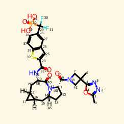 Cc1nnc(C2(C)CN(C(=O)[C@@H]3CC[C@@H]4C[C@@H]5C[C@@H]5C[C@H](NC(=O)c5cc6cc(C(F)(F)P(=O)(O)O)ccc6s5)C(=O)N43)C2)o1